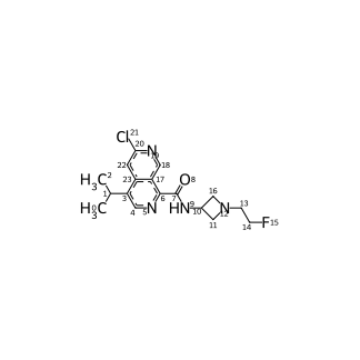 CC(C)c1cnc(C(=O)NC2CN(CCF)C2)c2cnc(Cl)cc12